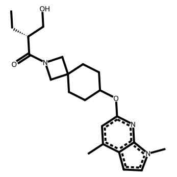 CC[C@H](CO)C(=O)N1CC2(CCC(Oc3cc(C)c4ccn(C)c4n3)CC2)C1